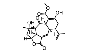 C=C(C)[C@@H]1CC(O)=C(C(=O)OC)[C@H]2C(=O)[C@@H]3[C@@H]4C(=C[C@H]21)C(=O)O[C@@H]4C[C@]3(C)O